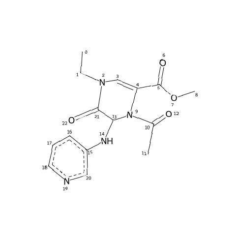 CCN1C=C(C(=O)OC)N(C(C)=O)C(Nc2cccnc2)C1=O